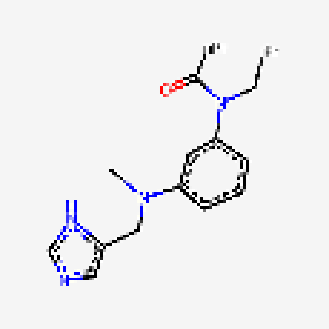 CCCC(=O)N(CC(C)C)c1cccc(N(C)Cc2cnc[nH]2)c1